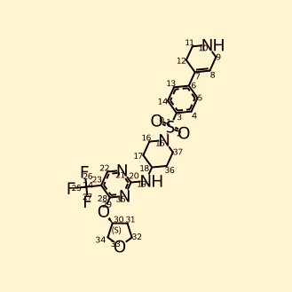 O=S(=O)(c1ccc(C2=CCNCC2)cc1)N1CCC(Nc2ncc(C(F)(F)F)c(O[C@H]3CCOC3)n2)CC1